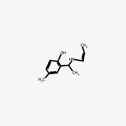 C/C=C\NC(C)c1cc(C)ccc1O